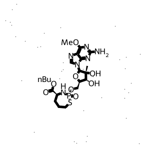 CCCCOC(=O)[C@@H]1CCCS[P@@](=O)(OC[C@H]2OC(n3cnc4c(OC)nc(N)nc43)[C@](C)(O)[C@@H]2O)N1